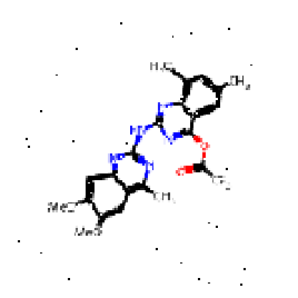 COc1cc2nc(Nc3nc(OC(=O)C(F)(F)F)c4cc(C)cc(C)c4n3)nc(C)c2cc1OC